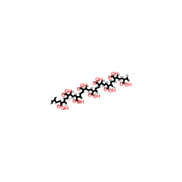 CCC(C)CCC(C(=O)O)C(C)CCC(C(=O)O)C(C)CCC(C(=O)O)C(C)CCC(C(=O)O)C(C)CCC(C(=O)O)C(C)CCC(C(=O)O)C(C)CCC(C(=O)O)C(C)CCC(C(=O)O)C(C)CCC(C(=O)O)C(C)C